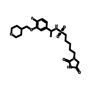 CC(NS(=O)(=O)CCCCCN1CC(=O)NC1=O)c1ccc(F)c(OCC2CCOCC2)c1